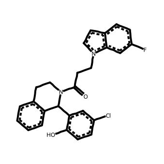 O=C(CCn1ccc2ccc(F)cc21)N1CCc2ccccc2C1c1cc(Cl)ccc1O